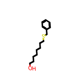 OCCCCCCCCSCc1ccccc1